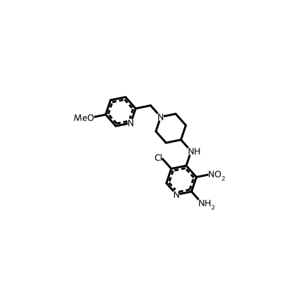 COc1ccc(CN2CCC(Nc3c(Cl)cnc(N)c3[N+](=O)[O-])CC2)nc1